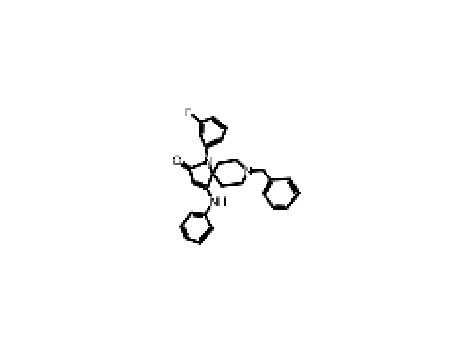 O=C1C=C(Nc2ccccc2)C2(CCN(Cc3ccccc3)CC2)N1c1cccc(F)c1